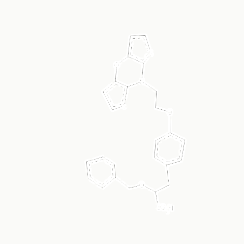 O=C(O)C(Cc1ccc(OCCN2c3sccc3Oc3ccsc32)cc1)OCc1ccccc1